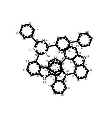 c1ccc(-c2ccc(-c3nc(-c4ccccc4)nc(-c4cccc5oc6ccc(-c7cccc8oc9cccc(-n%10c%11ccccc%11c%11ccccc%11%10)c9c78)cc6c45)n3)cc2)cc1